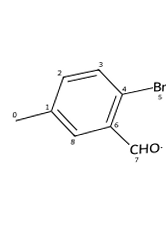 Cc1ccc(Br)c([C]=O)c1